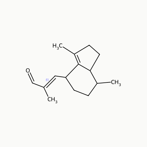 CC1=C2C(/C=C(\C)C=O)CCC(C)C2CC1